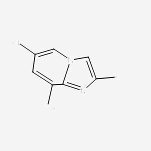 CCOC(=O)c1cn2cc(Cl)cc(C(C)(C)C)c2n1